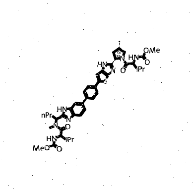 CCCC(c1nc2ccc(-c3ccc(-c4cc5[nH]c([C@@H]6C[C@H](C)CN6C(=O)C(NC(=O)OC)C(C)C)nc5s4)cc3)cc2[nH]1)N(C)C(=O)C(NC(=O)OC)C(C)C